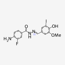 COc1cc(/C=N/NC(=O)c2ccc(N)c(F)c2)cc(I)c1O